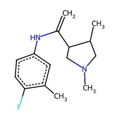 C=C(Nc1ccc(F)c(C)c1)C1CN(C)CC1C